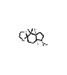 CC1(C)[C@@H]2CC[C@H](O)[C@@]2(C)CCC12OCCO2